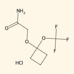 Cl.NC(=O)COC1(OC(F)(F)F)CCC1